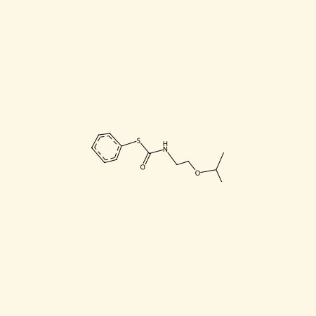 CC(C)OCCNC(=O)Sc1ccccc1